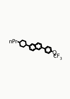 CCCC1CCC(c2ccc3cc(-c4ccc(OC(F)(F)F)cc4)ccc3c2)CC1